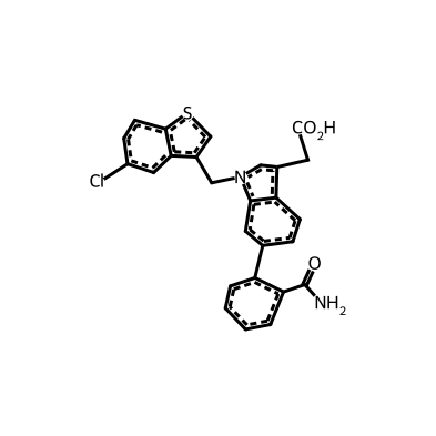 NC(=O)c1ccccc1-c1ccc2c(CC(=O)O)cn(Cc3csc4ccc(Cl)cc34)c2c1